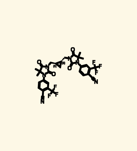 CC1(C)C(=O)N(C[C@@H]2C[C@H]2CN2C(=O)N(c3ccc(C#N)c(C(F)(F)F)c3)C(C)(C)C2=O)C(=O)N1c1ccc(C#N)c(C(F)(F)F)c1